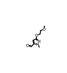 COCCOc1cc([C]=O)n(C)n1